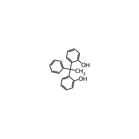 CC(c1ccccc1)(c1ccccc1O)c1ccccc1O